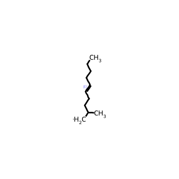 [CH2]C(C)CC/C=C/CCCC